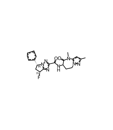 Cc1cc2n(n1)CCC(NC(=O)c1nc3n(n1)[C@@H](c1ccccc1)C[C@@H]3F)C(=O)N2C